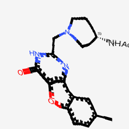 CC(=O)N[C@H]1CCN(Cc2nc3c(oc4ccc(C)cc43)c(=O)[nH]2)C1